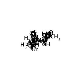 Cc1cn([C@H]2C[C@H](O)[C@@H](CO[PH](=O)N(Oc3ccccc3)C(C)C(=O)OC(C)C(=O)OC(C)C)O2)c(=O)[nH]c1=O